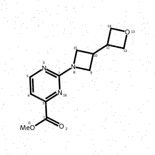 COC(=O)c1ccnc(N2CC(C3COC3)C2)n1